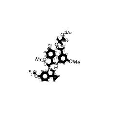 COc1cc(NC(C(=O)N2CC3(CC3)c3ccc(OC(F)(F)F)cc32)c2ccc(Cl)cc2OC)cc(C(C)=NOC(C)(C)C(=O)OC(C)(C)C)c1